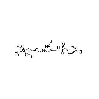 C[Si](C)(C)CCOCn1cc(/C=N/S(=O)(=O)c2ccc(Cl)cc2)c(I)n1